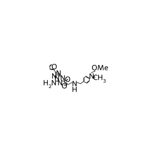 COCCN(C)c1ccc(CCNCCS(=O)(=O)c2nc(N)n3nc(-c4ccco4)nc3n2)cc1